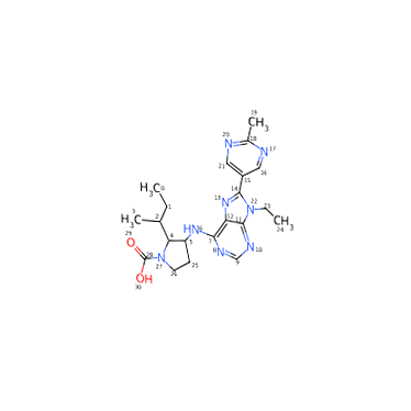 CCC(C)C1C(Nc2ncnc3c2nc(-c2cnc(C)nc2)n3CC)CCN1C(=O)O